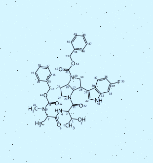 CC(O)C(NC(=O)C(C)N(C)C(=O)OCc1ccccc1)C(=O)N1CCC2C1C(c1c[nH]c3cc(F)ccc13)CN2C(=O)OCc1ccccc1